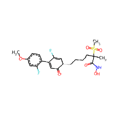 COc1ccc(C2=CC(=O)[C@@H](CCCCC(C)(C(=O)NO)S(C)(=O)=O)C=C2F)c(F)c1